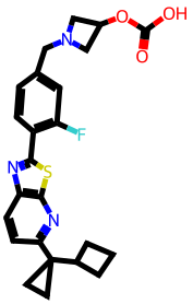 O=C(O)OC1CN(Cc2ccc(-c3nc4ccc(C5(C6CCC6)CC5)nc4s3)c(F)c2)C1